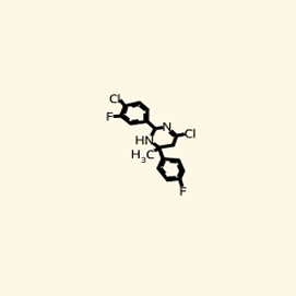 CC1(c2ccc(F)cc2)CC(Cl)=NC(c2ccc(Cl)c(F)c2)N1